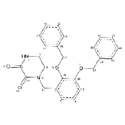 O=C1NCCN(Cc2cccc(OCc3ccccc3)c2OCc2ccccc2)C1=O